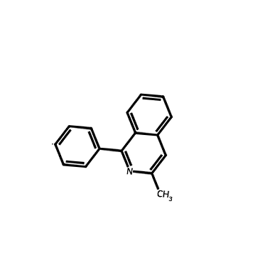 Cc1cc2ccccc2c(-c2cc[c]cc2)n1